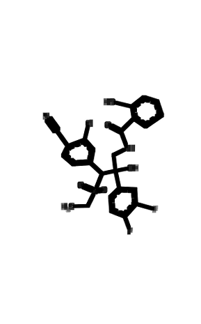 CCS(=O)(=O)C(c1ccc(C#N)c(Cl)c1)C(O)(CNC(=O)c1ccccc1O)c1ccc(F)c(F)c1